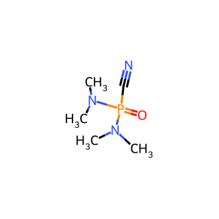 CN(C)P(=O)(C#N)N(C)C